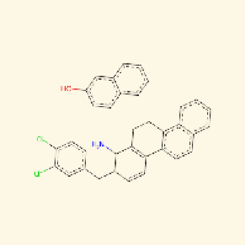 NC1C2=C(C=CC1Cc1ccc(Cl)c(Cl)c1)c1ccc3ccccc3c1CC2.Oc1ccc2ccccc2c1